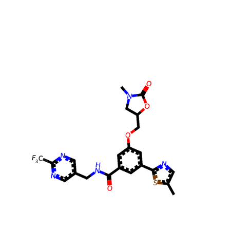 Cc1cnc(-c2cc(OCC3CN(C)C(=O)O3)cc(C(=O)NCc3cnc(C(F)(F)F)nc3)c2)s1